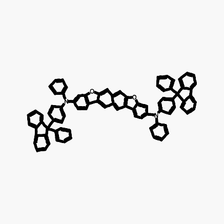 c1ccc(N(c2ccc(C3(c4ccccc4)c4ccccc4-c4ccccc43)cc2)c2ccc3c(c2)oc2cc4cc5oc6cc(N(c7ccccc7)c7ccc(C8(c9ccccc9)c9ccccc9-c9ccccc98)cc7)ccc6c5cc4cc23)cc1